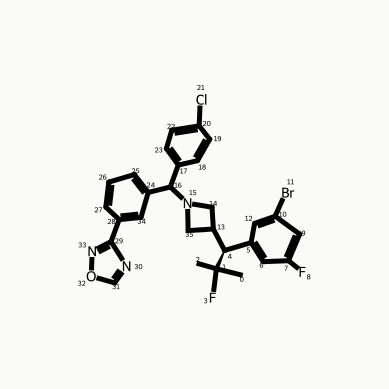 CC(C)(F)[C@H](c1cc(F)cc(Br)c1)C1CN(C(c2ccc(Cl)cc2)c2cccc(-c3ncon3)c2)C1